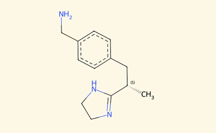 C[C@@H](Cc1ccc(CN)cc1)C1=NCCN1